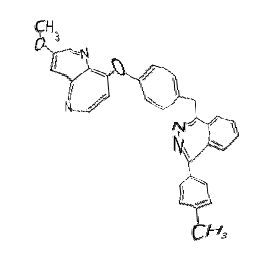 COc1cnc2c(Oc3ccc(Cc4nnc(-c5ccc(C)cc5)c5ccccc45)cc3)ccnc2c1